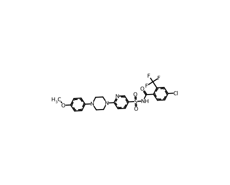 COc1ccc(N2CCN(c3ccc(S(=O)(=O)NC(=O)c4ccc(Cl)cc4C(F)(F)F)cn3)CC2)cc1